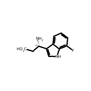 N[C@@H](CC(=O)O)c1c[nH]c2c(F)cccc12